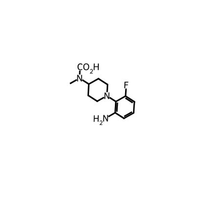 CN(C(=O)O)C1CCN(c2c(N)cccc2F)CC1